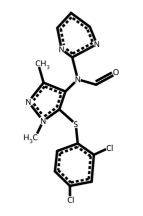 Cc1nn(C)c(Sc2ccc(Cl)cc2Cl)c1N(C=O)c1ncccn1